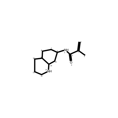 C=C(C)C(=O)NC1CCC2CCCNC2C1